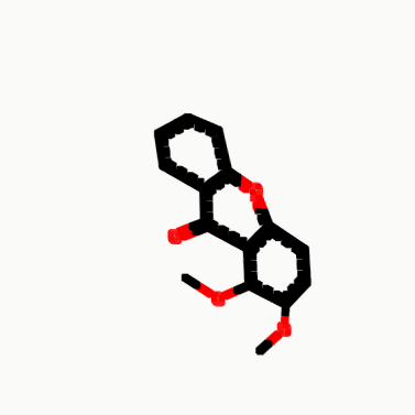 COc1ccc2oc3ccccc3c(=O)c2c1OC